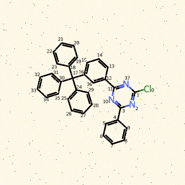 Clc1nc(-c2ccccc2)nc(-c2cccc(C(c3ccccc3)(c3ccccc3)c3ccccc3)c2)n1